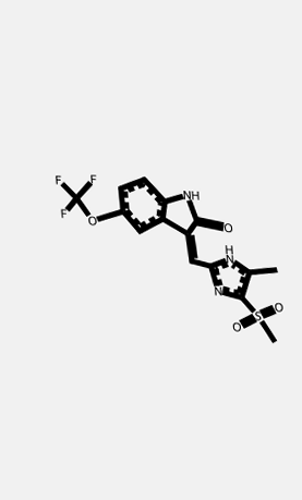 Cc1[nH]c(/C=C2\C(=O)Nc3ccc(OC(F)(F)F)cc32)nc1S(C)(=O)=O